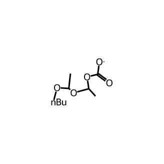 CCCCOC(C)OC(C)OC([O])=O